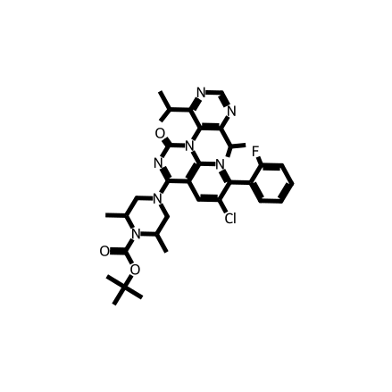 CC(C)c1ncnc(C(C)C)c1-n1c(=O)nc(N2CC(C)N(C(=O)OC(C)(C)C)C(C)C2)c2cc(Cl)c(-c3ccccc3F)nc21